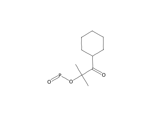 CC(C)(OP=O)C(=O)C1CCCCC1